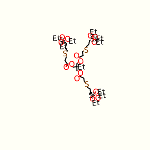 CCO[Si](CCCSCCC(=O)OCC(CC)(COC(=O)CCSCCC[Si](OCC)(OCC)OCC)COC(=O)CCSCCC[Si](OCC)(OCC)OCC)(OCC)OCC